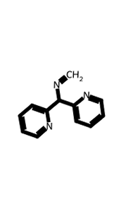 C=NC(c1ccccn1)c1ccccn1